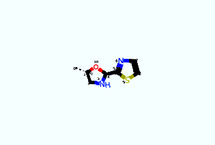 C[C@H]1CNC(c2nccs2)O1